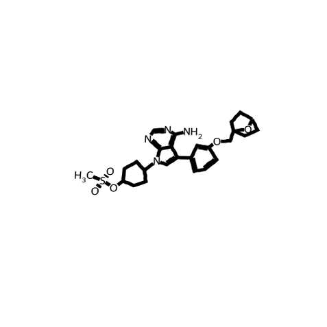 CS(=O)(=O)OC1CCC(n2cc(-c3cccc(OCC45CCC(CC4)O5)c3)c3c(N)ncnc32)CC1